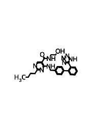 CCCCc1ncc(C(=O)NCCO)c(NCc2ccc(-c3ccccc3-c3nnn[nH]3)cc2)n1